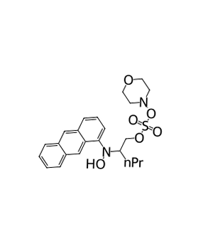 CCCC(COS(=O)(=O)ON1CCOCC1)N(O)c1cccc2cc3ccccc3cc12